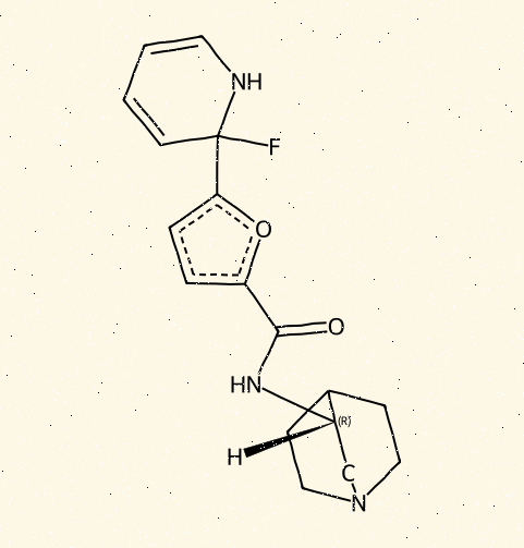 O=C(N[C@H]1CN2CCC1CC2)c1ccc(C2(F)C=CC=CN2)o1